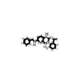 CC(OC(=O)Nc1ccc(NCc2ccccc2)nc1N)c1ccccc1